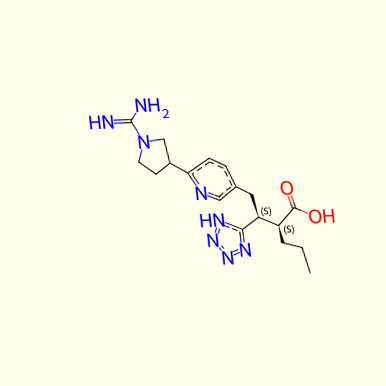 CCC[C@H](C(=O)O)[C@H](Cc1ccc(C2CCN(C(=N)N)C2)nc1)c1nnn[nH]1